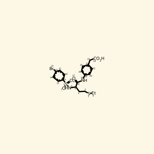 CCSCCC(NS(=O)(=O)c1ccc(Br)cc1)C(=O)Nc1ccc(CC(=O)O)cc1